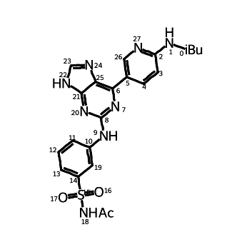 CCC(C)Nc1ccc(-c2nc(Nc3cccc(S(=O)(=O)NC(C)=O)c3)nc3[nH]cnc23)cn1